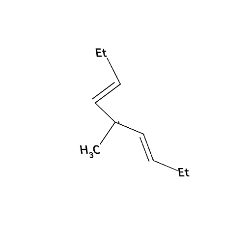 CCC=C[C](C)C=CCC